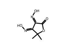 CC1(C)OC(=O)C(=NO)C1=NO